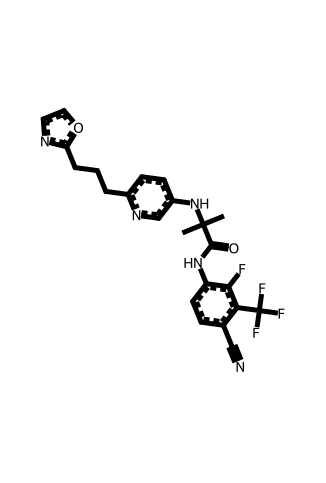 CC(C)(Nc1ccc(CCCc2ncco2)nc1)C(=O)Nc1ccc(C#N)c(C(F)(F)F)c1F